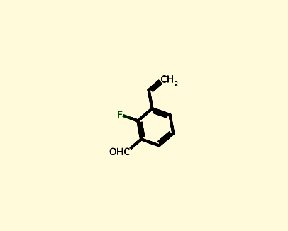 C=Cc1cccc(C=O)c1F